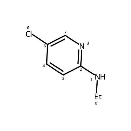 CCNc1ccc(Cl)cn1